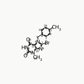 Cc1ccc(Cn2c(Br)nc3c2c(=O)[nH]c(=O)n3C)cc1